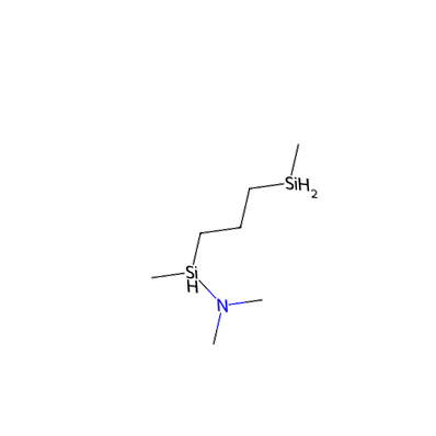 C[SiH2]CCC[SiH](C)N(C)C